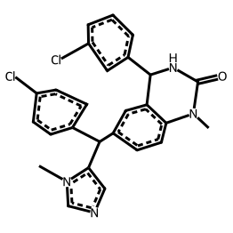 CN1C(=O)NC(c2cccc(Cl)c2)c2cc(C(c3ccc(Cl)cc3)c3cncn3C)ccc21